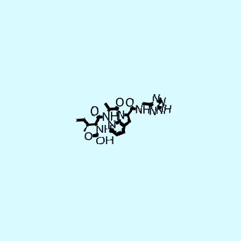 CC[C@H](C)C(NC(=O)O)C(=O)NC(C)C(=O)N1c2ncccc2CC1C(=O)NCc1nn[nH]n1